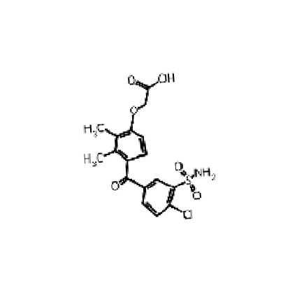 Cc1c(OCC(=O)O)ccc(C(=O)c2ccc(Cl)c(S(N)(=O)=O)c2)c1C